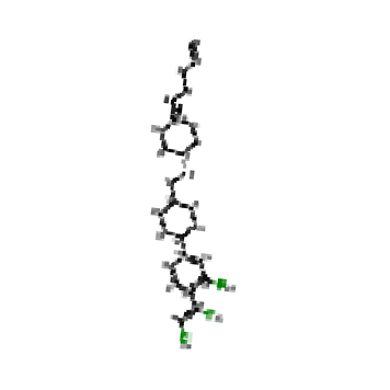 C=CCCC[Si@H]1CC[C@H](CCC2CCC(c3ccc(C(F)=CCl)c(F)c3)CC2)CC1